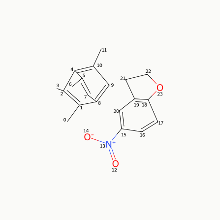 Cc1c(C)c2c(C)cc1cc2C.O=[N+]([O-])c1ccc2c(c1)CCO2